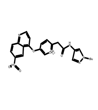 C=C(/C=C\C(=C/C)Oc1ccnc2ccc([SH](=O)=O)cc12)CC(=O)Nc1cnn(C(C)(C)C)c1